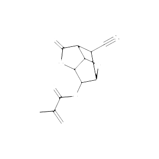 C=C(C)C(=O)OC1C2OC3C1OC(=O)C3C2C#N